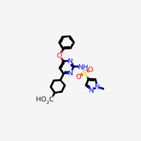 Cn1cc(S(=O)(=O)Nc2nc(Oc3ccccc3)cc(C3CCC(C(=O)O)CC3)n2)cn1